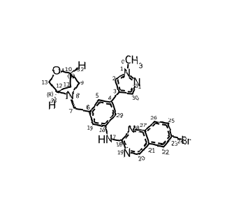 Cn1cc(-c2cc(CN3C[C@@H]4C[C@@H]3CO4)cc(Nc3ncc4cc(Br)ccc4n3)c2)cn1